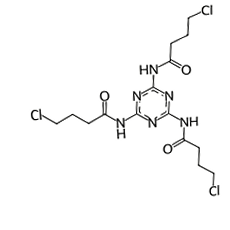 O=C(CCCCl)Nc1nc(NC(=O)CCCCl)nc(NC(=O)CCCCl)n1